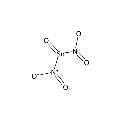 O=[N+]([O-])[Sn](=[O])[N+](=O)[O-]